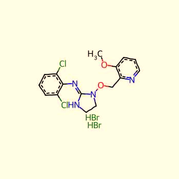 Br.Br.COc1cccnc1CON1CCNC1=Nc1c(Cl)cccc1Cl